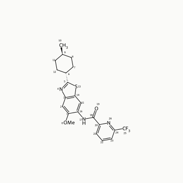 COc1cc2nc([C@H]3CC[C@H](C)CC3)sc2cc1NC(=O)c1cccc(C(F)(F)F)n1